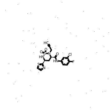 C#CCN1[C@@H](C(=O)Nc2ccc(F)c(Cl)c2)C[C@@H](c2nccs2)NS1(=O)=O